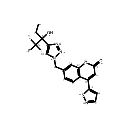 CCC(O)(c1cn(Cc2ccc3c(-c4ccns4)cc(=O)oc3c2)nn1)C(F)(F)F